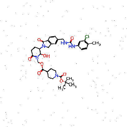 Cc1ccc(NC(=O)NCc2ccc3c(c2)CN(C2CCC(=O)N(COC(=O)C4CCN(C(=O)OC(C)(C)C)CC4)C2O)C3=O)cc1Cl